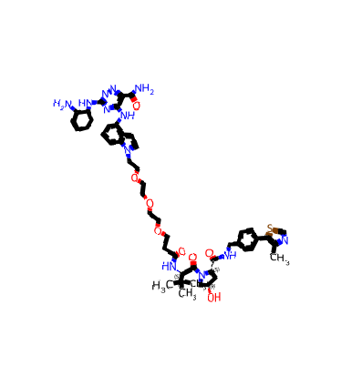 Cc1ncsc1-c1ccc(CNC(=O)[C@@H]2C[C@@H](O)CN2C(=O)[C@@H](NC(=O)CCOCCOCCOCCn2ccc3c(Nc4nc(NC5CCCCC5N)nnc4C(N)=O)cccc32)C(C)(C)C)cc1